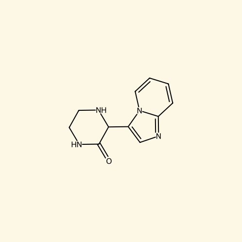 O=C1NCCNC1c1cnc2ccccn12